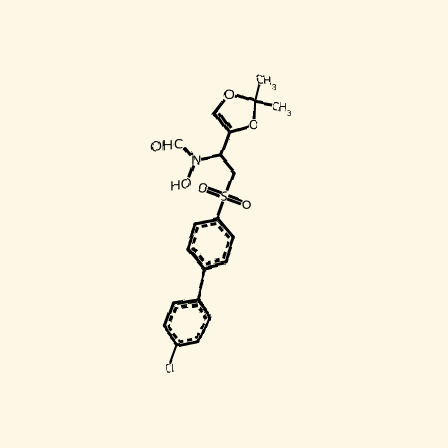 CC1(C)OC=C(C(CS(=O)(=O)c2ccc(-c3ccc(Cl)cc3)cc2)N(O)C=O)O1